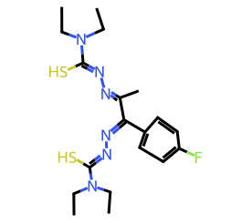 CCN(CC)/C(S)=N/N=C(C)/C(=N/N=C(\S)N(CC)CC)c1ccc(F)cc1